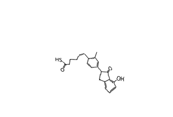 Cc1cc(C2Cc3cccc(O)c3C2=O)ccc1/C=C\CCCC(=O)S